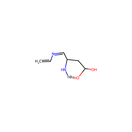 C=C/N=C\C(CC(O)O)NCCCC